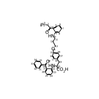 CC(C)CC(=O)c1ccccc1NCCCOc1ccc(CC(Nc2ccccc2C(=O)c2ccccc2)C(=O)O)cc1